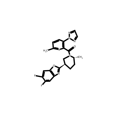 Cc1ccc(-n2nccn2)c(C(=O)N2C[C@H](c3nc4cc(F)c(F)cc4o3)CC[C@H]2C)n1